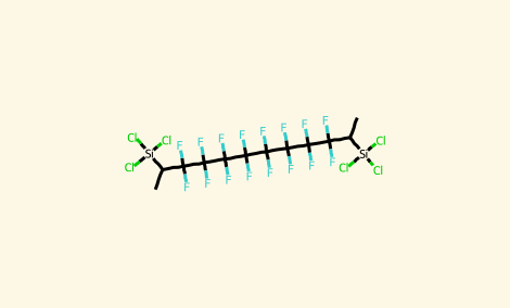 CC(C(F)(F)C(F)(F)C(F)(F)C(F)(F)C(F)(F)C(F)(F)C(F)(F)C(F)(F)C(C)[Si](Cl)(Cl)Cl)[Si](Cl)(Cl)Cl